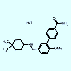 COc1ccc(CNC2CCC(C)(C)CC2)cc1-c1ccc(C(N)=O)cc1.Cl